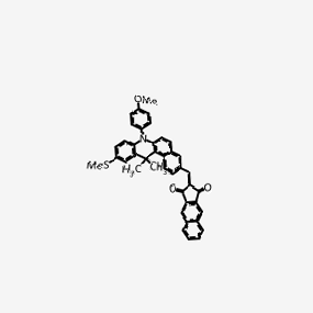 COc1ccc(N2c3ccc(SC)cc3C(C)(C)c3c2ccc2cc(C=C4C(=O)c5cc6ccccc6cc5C4=O)ccc32)cc1